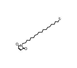 O=C1C=CC(=O)N1CCCCCCCCCCCCCCCCCC[S]